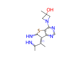 CC(=N)/C(C)=C1\C(=N)Sc2c1ncnc2N1CC(C)(O)C1